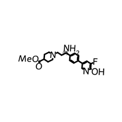 COC(=O)C1CCN(CC[C@@H](N)c2ccc(-c3cnc(O)c(F)c3)cc2)CC1